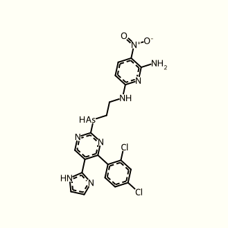 Nc1nc(NCC[AsH]c2ncc(-c3ncc[nH]3)c(-c3ccc(Cl)cc3Cl)n2)ccc1[N+](=O)[O-]